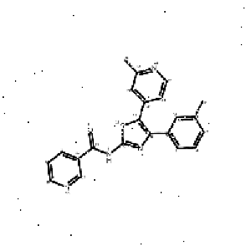 Cc1cccc(-c2nc(NC(=O)c3cccnc3)sc2-c2ccnc(C)c2)c1